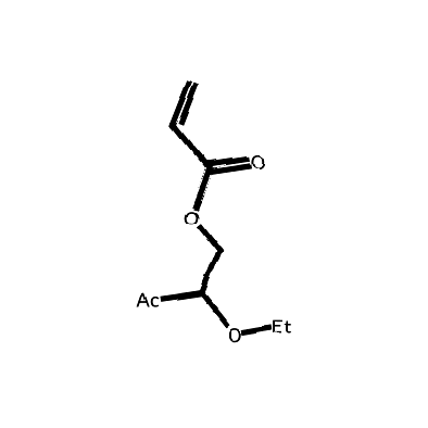 C=CC(=O)OCC(OCC)C(C)=O